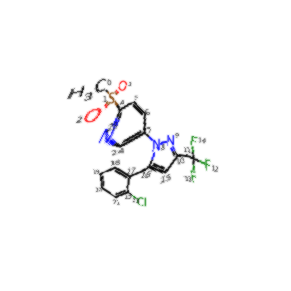 CS(=O)(=O)c1ccc(-n2nc(C(F)(F)F)cc2-c2ccccc2Cl)cn1